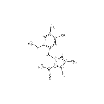 CCc1cc(C)c(C)cc1Cc1nn(C)c(F)c1C(N)=O